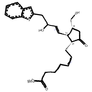 COC(=O)CCC/C=C\C[C@H]1C(=O)C[C@@H](CO)[C@@H]1/C=C/C(O)Cc1cc2ccccc2s1